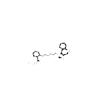 NC(=O)c1ccccc1CCCCCCn1cnc2cnc3ccccc3c21